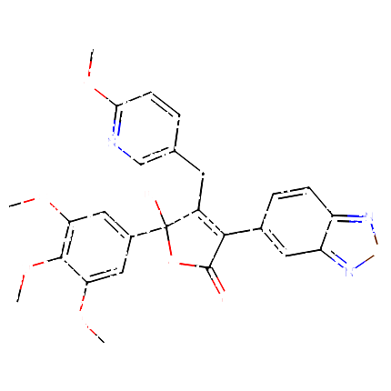 COc1ccc(CC2=C(c3ccc4nsnc4c3)C(=O)OC2(O)c2cc(OC)c(OC)c(OC)c2)cn1